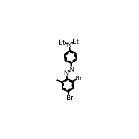 CCN(CC)c1ccc(N=Nc2c(C)cc(Br)cc2Br)cc1